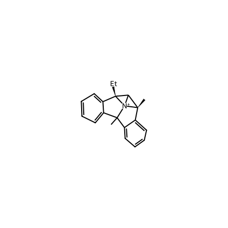 CC[C@@]12c3ccccc3C3(C)c4ccccc4[C@@]4(C)C1[N+]342